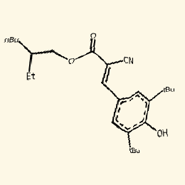 CCCCC(CC)COC(=O)C(C#N)=Cc1cc(C(C)(C)C)c(O)c(C(C)(C)C)c1